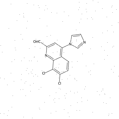 O=Cc1cc(-n2ccnc2)c2ccc(Cl)c(Cl)c2n1